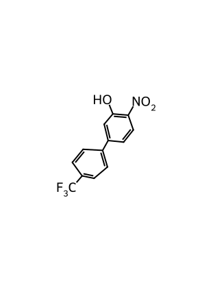 O=[N+]([O-])c1ccc(-c2ccc(C(F)(F)F)cc2)cc1O